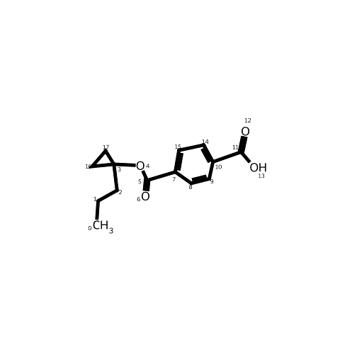 CCCC1(OC(=O)c2ccc(C(=O)O)cc2)CC1